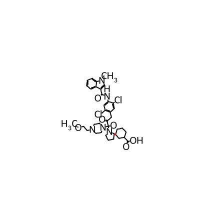 COCCN1CCN(C(OC2CCC(C(=O)O)CC2)(C(=O)Cc2cc(Cl)c(NC(=O)c3cn(C)c4ccccc34)cc2Cl)N2CCCC2)CC1